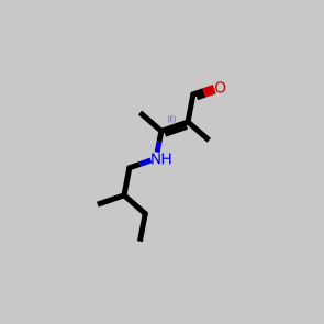 CCC(C)CN/C(C)=C(\C)C=O